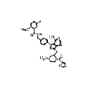 COc1ccc(F)cc1C(=O)NCc1ccc(-c2nn(CC3CC(C)CCN3C(=O)n3cncn3)c3ncnc(N)c23)cc1